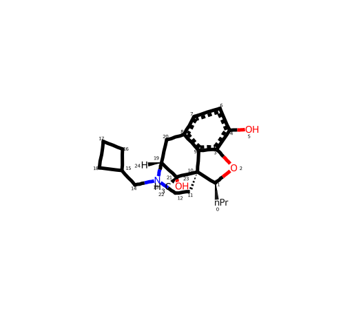 CCC[C@@H]1Oc2c(O)ccc3c2[C@@]12CCN(CC1CCC1)[C@H](C3)[C@@]2(C)O